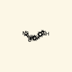 O=C(NCc1cncs1)N1CCN(Cc2ccc3cc[nH]c3c2)CC1